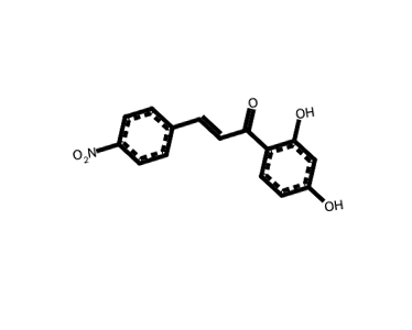 O=C(C=Cc1ccc([N+](=O)[O-])cc1)c1ccc(O)cc1O